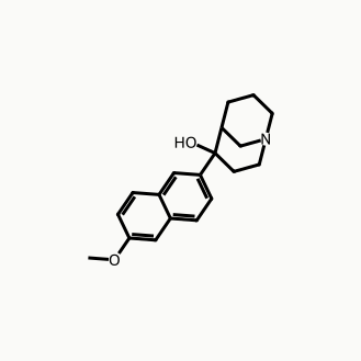 COc1ccc2cc(C3(O)CCN4CCCC3C4)ccc2c1